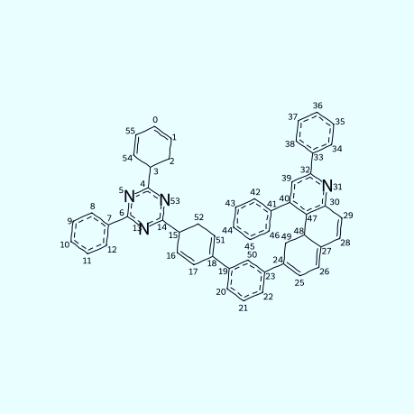 C1=CCC(c2nc(-c3ccccc3)nc(C3C=CC(c4cccc(C5=CC=C6C=Cc7nc(-c8ccccc8)cc(-c8ccccc8)c7C6C5)c4)=CC3)n2)C=C1